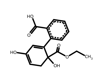 CCOC(=O)C1(O)CC=C(O)C=C1c1ccccc1C(=O)O